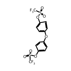 O=S(=O)(Oc1ccc(Oc2ccc(OS(=O)(=O)C(F)(F)F)cc2)cc1)C(F)(F)F